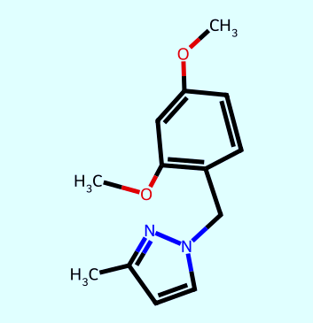 COc1ccc(Cn2ccc(C)n2)c(OC)c1